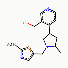 CC(=O)Nc1ncc(CN2CC(c3ccncc3CO)CC2C)s1